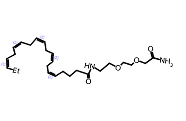 CC/C=C\C/C=C\C/C=C\C/C=C\C/C=C\CCCC(=O)NCCOCCOCC(N)=O